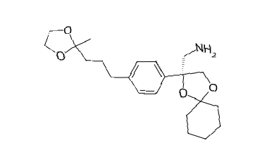 CC1(CCCc2ccc([C@@]3(CN)COC4(CCCCC4)O3)cc2)OCCO1